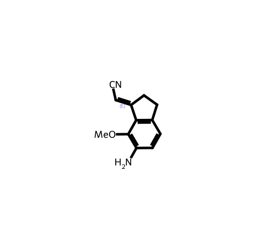 COc1c(N)ccc2c1/C(=C/C#N)CC2